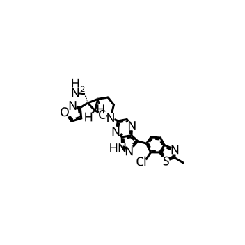 Cc1nc2ccc(-c3n[nH]c4nc(N5CC[C@@H]6[C@H](C5)[C@@]6(CN)c5ccon5)cnc34)c(Cl)c2s1